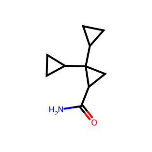 NC(=O)C1CC1(C1CC1)C1CC1